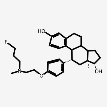 CN(CCCF)CCOc1ccc([C@H]2C[C@@]3(C)C(CC[C@@H]3O)C3CCc4cc(O)ccc4C32)cc1